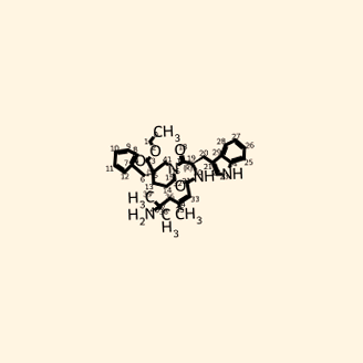 CCOC(=O)[C@]1(Cc2ccccc2)CCCN(C(=O)[C@@H](Cc2c[nH]c3ccccc23)NC(=O)C=C(C)CC(C)(C)N)C1